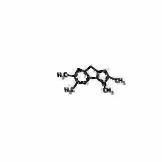 Cc1cc2c(cc1C)-c1c(cc(C)n1C)C2